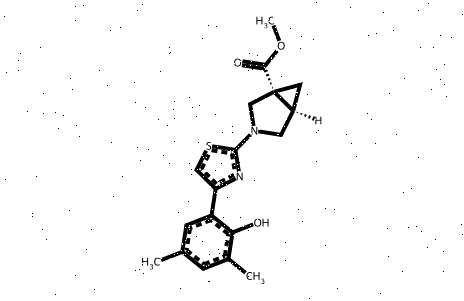 COC(=O)[C@]12C[C@H]1CN(c1nc(-c3cc(C)cc(C)c3O)cs1)C2